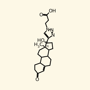 C[C@]12CCC3C4CCC(=O)C=C4CCC3C1CC[C@@]2(O)c1cn(CCC(=O)O)nn1